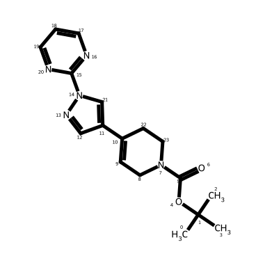 CC(C)(C)OC(=O)N1CC=C(c2cnn(-c3ncccn3)c2)CC1